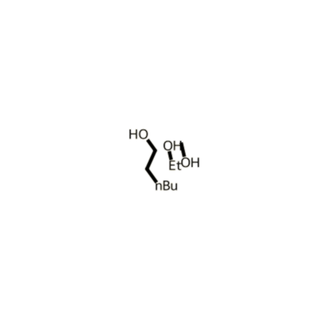 CCCCCCO.CCO.CO